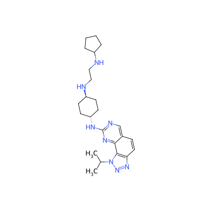 CC(C)n1nnc2ccc3cnc(N[C@H]4CC[C@H](NCCNC5CCCC5)CC4)nc3c21